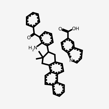 CC1(C)Cc2c(ccc3c2ccc2ccccc23)CC1c1cccc(C(=O)c2ccccc2)c1N.O=C(O)c1ccc2ncccc2c1